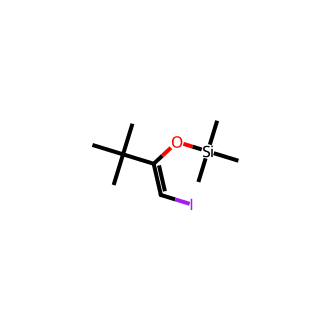 CC(C)(C)C(=CI)O[Si](C)(C)C